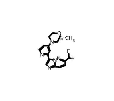 C[C@@H]1CN(c2ccnc(-c3cnc4ccc(C(F)F)nn34)c2)CCO1